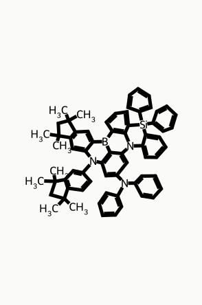 CC1(C)CC(C)(C)c2cc(N3c4cc5c(cc4B4c6cccc7c6N(c6ccccc6[Si]7(c6ccccc6)c6ccccc6)c6cc(N(c7ccccc7)c7ccccc7)cc3c64)C(C)(C)CC5(C)C)ccc21